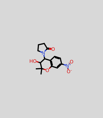 CC1(C)Oc2cc([N+](=O)[O-])ccc2C(N2CCCC2=O)C1O